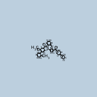 COc1cc(C(=O)N2Cc3ccc(C(=O)N4CCC(N5CCCC5)CC4)n3Cc3ccccc32)ccc1-c1ccccc1C